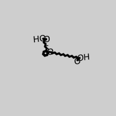 O=C(O)CCCCCCCCCCCCOc1ccccc1SCCCC(=O)O